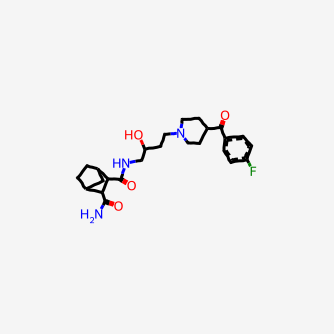 NC(=O)C1C2CCC(C2)C1C(=O)NCC(O)CCN1CCC(C(=O)c2ccc(F)cc2)CC1